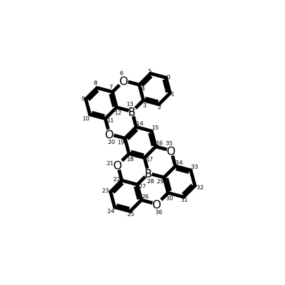 c1ccc2c(c1)Oc1cccc3c1B2c1cc2c4c(c1O3)Oc1cccc3c1B4c1c(cccc1O2)O3